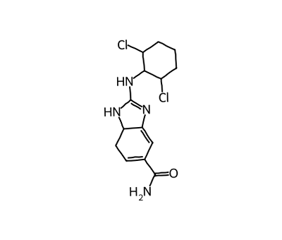 NC(=O)C1=CCC2NC(NC3C(Cl)CCCC3Cl)=NC2=C1